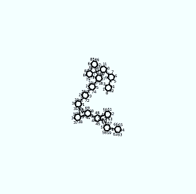 c1ccc(-c2cccc(-c3cccc(C4(c5cccc(-c6ccc(-c7ccc(-c8cccc(-n9c%10ccccc%10c%10cc(-c%11ccc%12c(c%11)c%11ccccc%11n%12-c%11cccc(-c%12ccccc%12)c%11)ccc%109)c8)cc7)cc6)c5)c5ccccc5-c5ccccc54)c3)c2)cc1